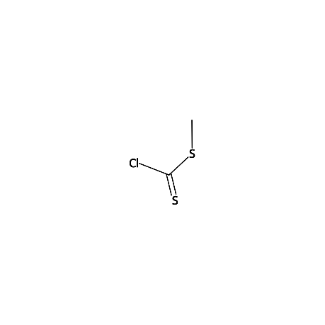 CSC(=S)Cl